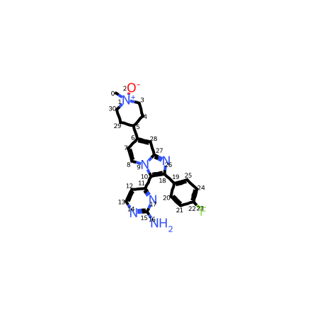 C[N+]1([O-])CCC(c2ccn3c(-c4ccnc(N)n4)c(-c4ccc(F)cc4)nc3c2)CC1